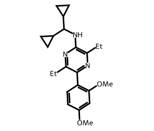 CCc1nc(-c2ccc(OC)cc2OC)c(CC)nc1NC(C1CC1)C1CC1